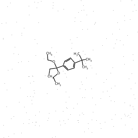 CCOC(CC)(OCC)c1ccc(C(C)(C)C)cc1